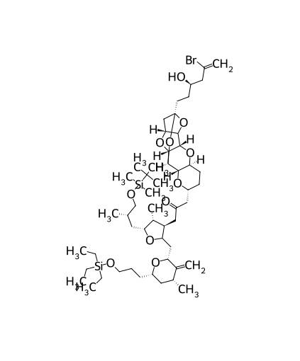 C=C(Br)C[C@H](O)CC[C@@]12C[C@H]3O[C@H]4[C@@H](O1)[C@H]1O[C@@H](CC(=O)C[C@H]5C(C[C@H]6O[C@@H](CCCO[Si](CC)(CC)CC)C[C@@H](C)C6=C)O[C@H](C[C@H](C)CO[Si](C)(C)C(C)(C)C)[C@@H]5C)CC[C@@H]1O[C@H]4C3O2